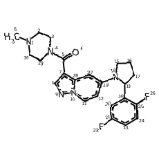 CN1CCN(C(=O)c2cnn3ccc(N4CCCC4c4cc(F)ccc4F)cc23)CC1